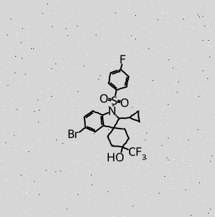 O=S(=O)(c1ccc(F)cc1)N1c2ccc(Br)cc2C2(CCC(O)(C(F)(F)F)CC2)C1C1CC1